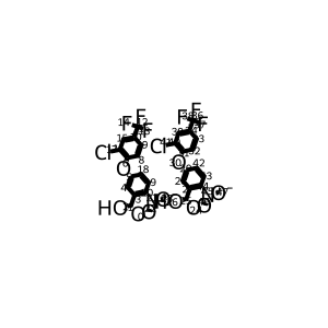 O=C(O)c1cc(Oc2ccc(C(F)(F)F)cc2Cl)ccc1[N+](=O)[O-].O=C(O)c1cc(Oc2ccc(C(F)(F)F)cc2Cl)ccc1[N+](=O)[O-]